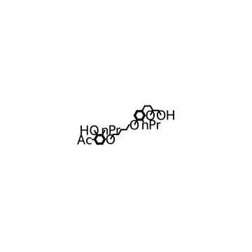 CCCc1c(OCCCCCOc2ccc3c(c2CCC)OC(CO)CC3)ccc(C(C)=O)c1O